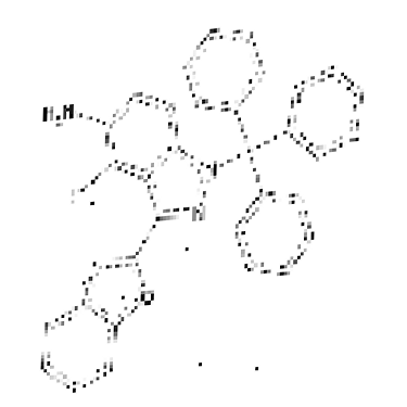 Nc1ccc2c(c(-c3cc4ccccc4o3)nn2C(c2ccccc2)(c2ccccc2)c2ccccc2)c1F